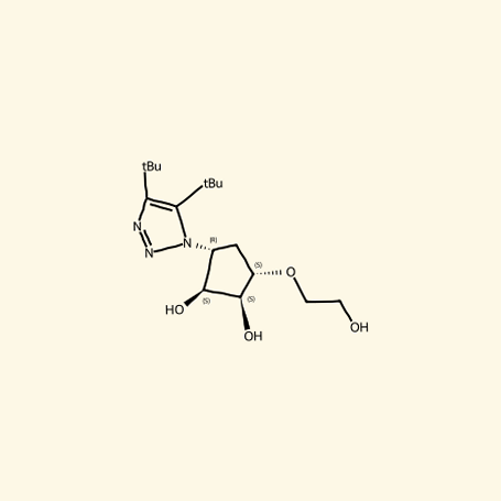 CC(C)(C)c1nnn([C@@H]2C[C@H](OCCO)[C@@H](O)[C@H]2O)c1C(C)(C)C